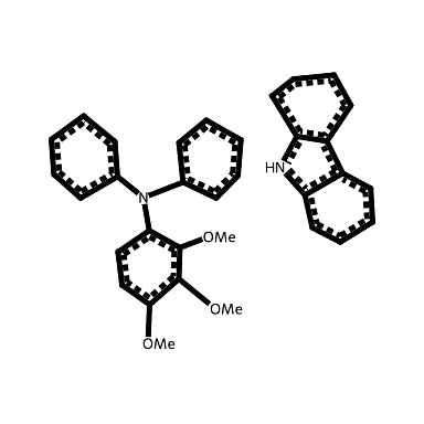 COc1ccc(N(c2ccccc2)c2ccccc2)c(OC)c1OC.c1ccc2c(c1)[nH]c1ccccc12